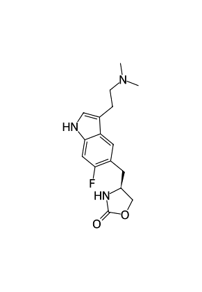 CN(C)CCc1c[nH]c2cc(F)c(C[C@H]3COC(=O)N3)cc12